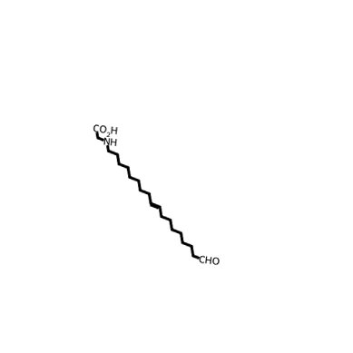 O=CCCCCCCCC=CCCCCCCCCNCC(=O)O